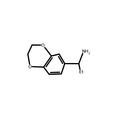 CCC(N)c1ccc2c(c1)OCCO2